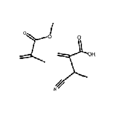 C=C(C(=O)O)C(C)C#N.C=C(C)C(=O)OC